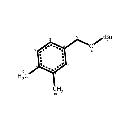 Cc1ccc(COC(C)(C)C)cc1C